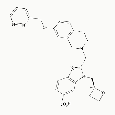 O=C(O)c1ccc2nc(CN3CCc4ccc(OCc5cccnn5)cc4C3)n(C[C@@H]3CCO3)c2c1